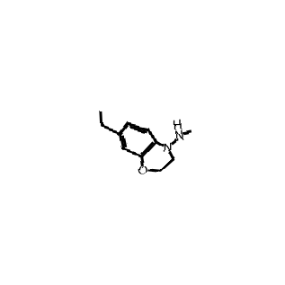 CCc1ccc2c(c1)OCCN2NC